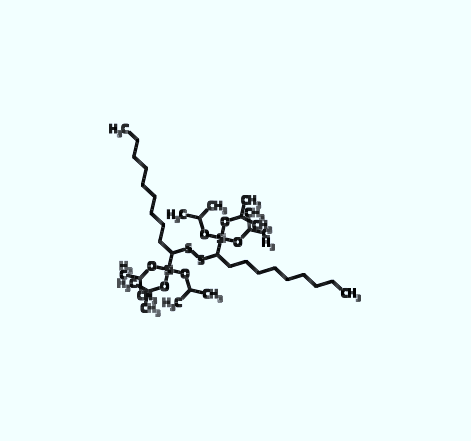 CCCCCCCCCC(SSC(CCCCCCCCC)[Si](OC(C)C)(OC(C)C)OC(C)C)[Si](OC(C)C)(OC(C)C)OC(C)C